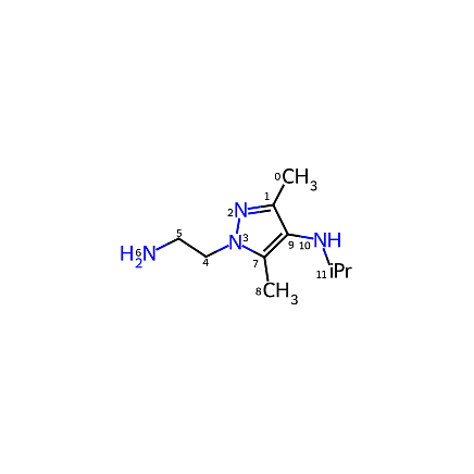 Cc1nn(CCN)c(C)c1NC(C)C